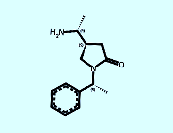 C[C@H](c1ccccc1)N1C[C@@H]([C@@H](C)N)CC1=O